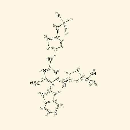 Cc1nc(NCc2ccc(OC(F)(F)F)cc2)nc(N[C@H]2CC[C@@H](C(C)O)C2)c1-c1nc2cnccc2s1